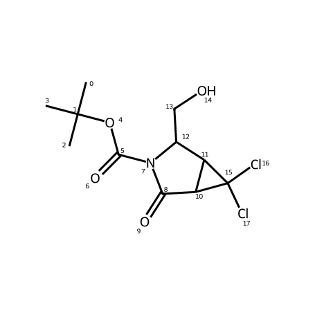 CC(C)(C)OC(=O)N1C(=O)C2C(C1CO)C2(Cl)Cl